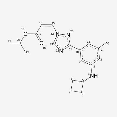 Cc1cc(NC2CCC2)cc(-c2ncn(/C=C\C(=O)OC(C)C)n2)c1